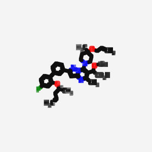 C=CCOC1(C)CCN(c2c(C(OC(C)(C)C)C(=O)O)c(C)nc3cc(-c4cccc(-c5ccc(F)cc5O[C@@H](C)CC=C)c4)nn23)CC1